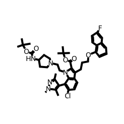 Cc1nn(C)c(C)c1-c1c(Cl)ccc2c(CCCOc3cccc4cc(F)ccc34)c(C(=O)OC(C)(C)C)n(CCN3CCC(NC(=O)OC(C)(C)C)CC3)c12